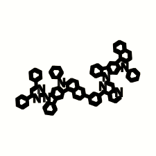 c1ccc(-c2cc(-c3ccccc3)nc(-n3c4ccccc4c4cc5c6c7ccc(-c8cccc(-c9nc(-n%10c%11ccccc%11c%11cc%12c%13c%14ccccc%14ccc%13n(-c%13ccccc%13)c%12cc%11%10)cc%10ncccc9%10)c8)cc7ccc6n(-c6ccccc6)c5cc43)n2)cc1